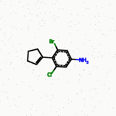 Nc1cc(Cl)c(C2=CCCC2)c(Br)c1